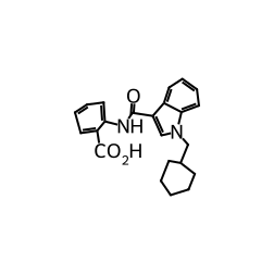 O=C(O)c1ccccc1NC(=O)c1cn(CC2CCCCC2)c2ccccc12